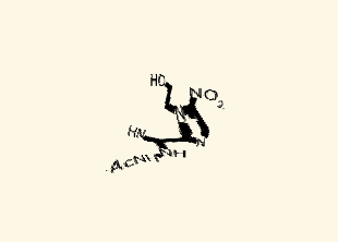 CC(=O)[N]NC(=N)c1ncc([N+](=O)[O-])n1CCO